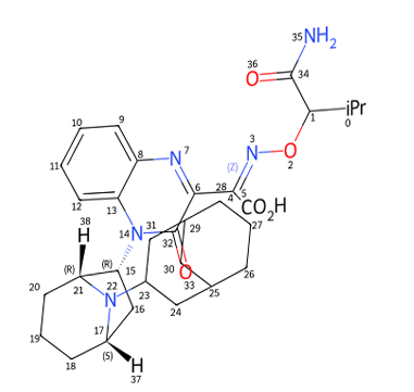 CC(C)C(O/N=C(\C(=O)O)c1nc2ccccc2n([C@@H]2C[C@@H]3CCC[C@H]2N3C2CC3CCCC(C3)C2)c1=O)C(N)=O